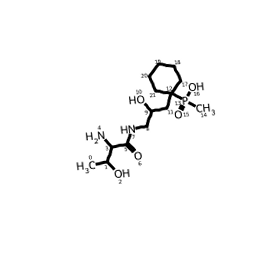 CC(O)C(N)C(=O)NCC(O)CC1(P(C)(=O)O)CCCCC1